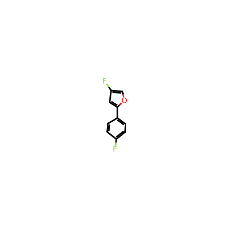 Fc1ccc(-c2cc(F)co2)cc1